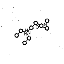 c1ccc(-c2cccc(-c3nc(-c4ccc(-c5cccc6c5oc5cc7c8ccccc8n(-c8ccccc8)c7cc56)cc4)nc(-c4cccc(-c5ccccc5)c4)n3)c2)cc1